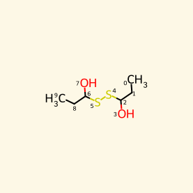 CCC(O)SSC(O)CC